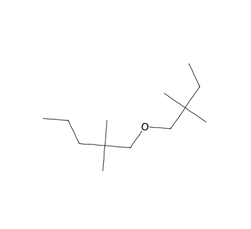 CCCC(C)(C)COCC(C)(C)CC